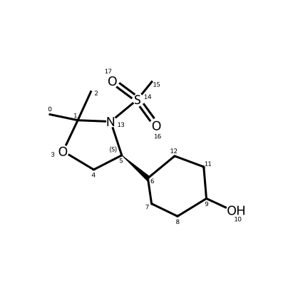 CC1(C)OC[C@H](C2CCC(O)CC2)N1S(C)(=O)=O